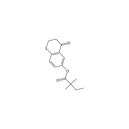 CCC(C)(C)C(=O)Oc1ccc2c(c1)C(=O)CCS2